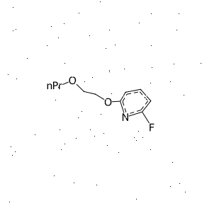 CCCOCCOc1cccc(F)n1